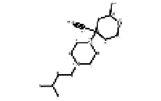 CC(C)CCN1CCN(C2(C#N)CCOC(C)C2)CC1